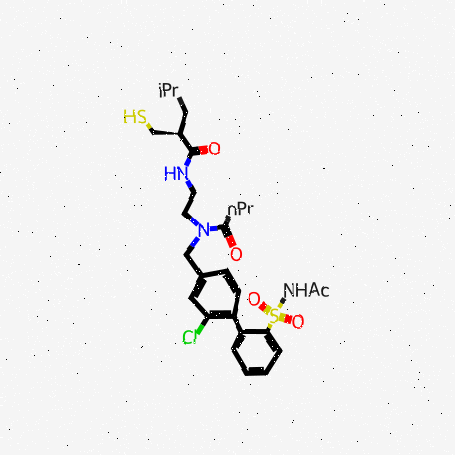 CCCC(=O)N(CCNC(=O)[C@@H](CS)CC(C)C)Cc1ccc(-c2ccccc2S(=O)(=O)NC(C)=O)c(Cl)c1